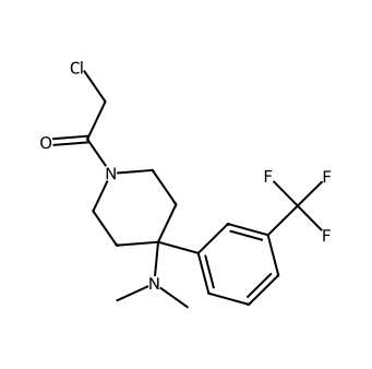 CN(C)C1(c2cccc(C(F)(F)F)c2)CCN(C(=O)CCl)CC1